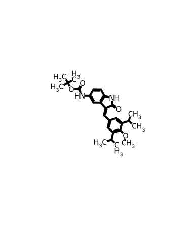 COc1c(C(C)C)cc(C=C2C(=O)Nc3ccc(NC(=O)OC(C)(C)C)cc32)cc1C(C)C